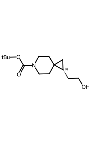 CC(C)(C)OC(=O)N1CCC2(CC1)C[C@@H]2CCO